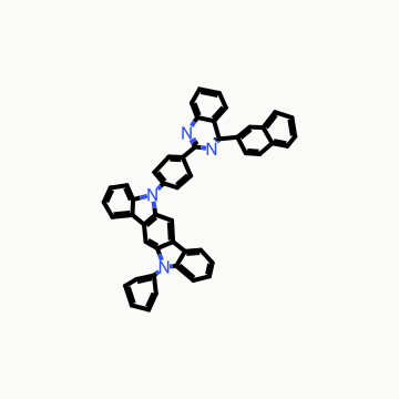 c1ccc(-n2c3ccccc3c3cc4c(cc32)c2ccccc2n4-c2ccc(-c3nc(-c4ccc5ccccc5c4)c4ccccc4n3)cc2)cc1